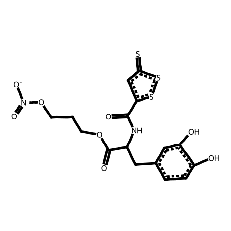 O=C(NC(Cc1ccc(O)c(O)c1)C(=O)OCCCO[N+](=O)[O-])c1cc(=S)ss1